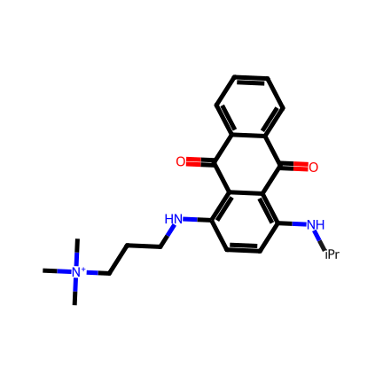 CC(C)Nc1ccc(NCCC[N+](C)(C)C)c2c1C(=O)c1ccccc1C2=O